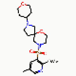 COc1ncc(C)cc1S(=O)(=O)N1CCOC2(CCN(C3CCOCC3)C2)C1